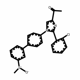 CC(=O)c1cn(-c2ccc(-c3cccc([S+](C)[O-])c3)cc2)c(-c2ccccc2Cl)n1